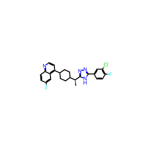 C[C@H](c1nnc(-c2ccc(F)c(Cl)c2)[nH]1)C1CCC(c2ccnc3ccc(F)cc23)CC1